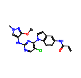 C=CC(=O)Nc1ccc2c(ccn2-c2nc(Nc3cn(C)nc3OCC)ncc2Cl)c1